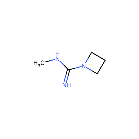 CNC(=N)N1CCC1